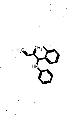 C=CC(=C)C(Nc1ccccc1)c1ccccc1I